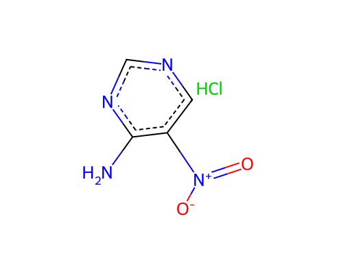 Cl.Nc1ncncc1[N+](=O)[O-]